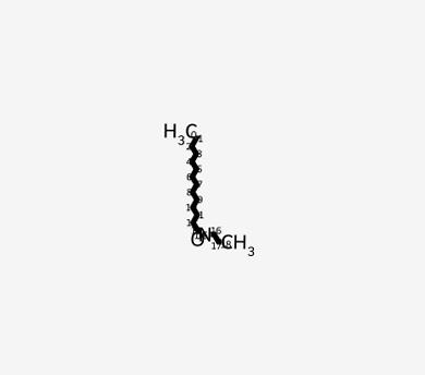 CCCCCCCCCCCCCC1ON1CCC